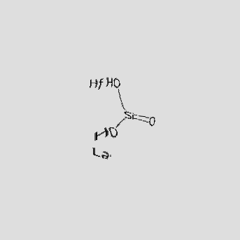 O=[Si](O)O.[Hf].[La]